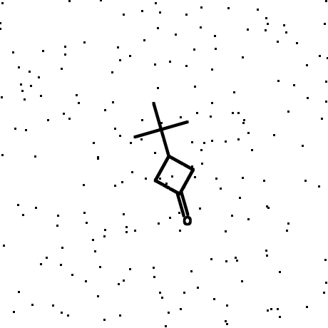 CC(C)(C)C1CC(=O)C1